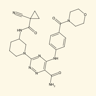 N#CC1(C(=O)NC2CCCN(c3nnc(C(N)=O)c(Nc4ccc(C(=O)N5CCOCC5)cc4)n3)C2)CC1